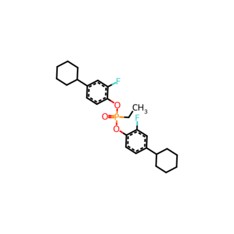 CCP(=O)(Oc1ccc(C2CCCCC2)cc1F)Oc1ccc(C2CCCCC2)cc1F